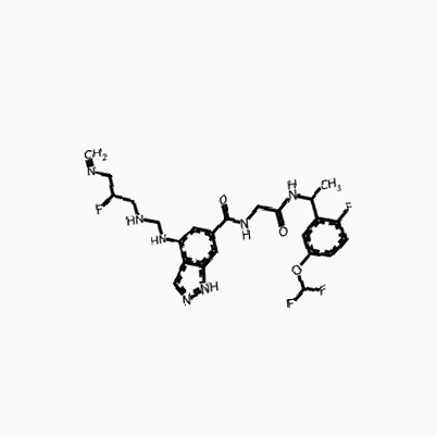 C=NCC(F)CNCNc1cc(C(=O)NCC(=O)NC(C)c2cc(OC(F)F)ccc2F)cc2[nH]ncc12